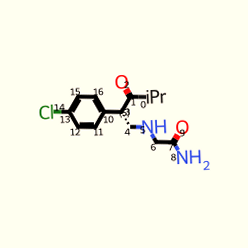 CC(C)C(=O)[C@H](CNCC(N)=O)c1ccc(Cl)cc1